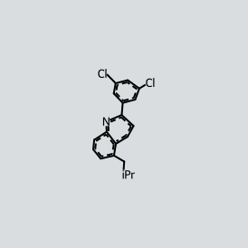 CC(C)Cc1cccc2nc(-c3cc(Cl)cc(Cl)c3)ccc12